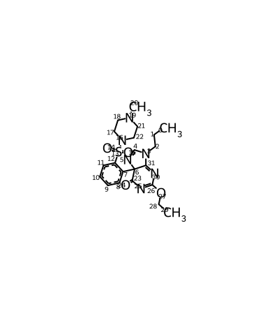 CCCN1C=NC2(c3ccccc3S(=O)(=O)N3CCN(C)CC3)C(=O)N=C(OCC)N=C12